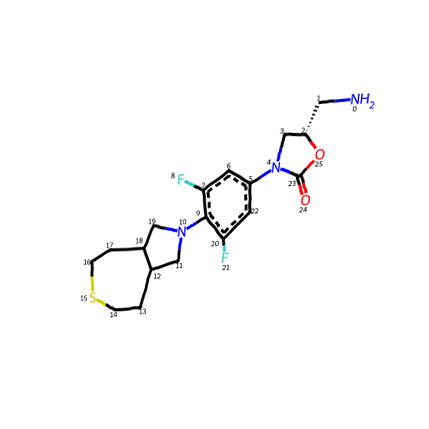 NC[C@H]1CN(c2cc(F)c(N3CC4CCSCCC4C3)c(F)c2)C(=O)O1